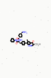 Cc1cc2c(=O)c(C(=O)O)c[nH]c2cc1-c1ccc(C[C@H](NC(=O)[C@H]2CC[C@H](CN)CC2)C(=O)Nc2ccccc2)cc1